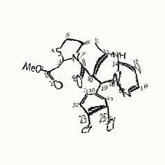 COC(=O)C1SCCN1C(=O)C1=C(C)Nc2ccnn2C1c1ccc(Cl)c(Cl)c1